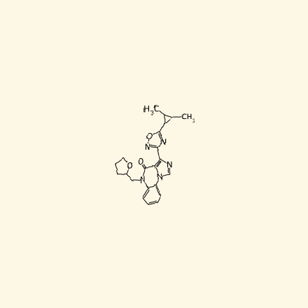 CC1C(C)C1c1nc(-c2ncn3c2c(=O)n(CC2CCCO2)c2ccccc23)no1